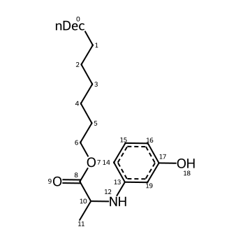 CCCCCCCCCCCCCCCCOC(=O)C(C)Nc1cccc(O)c1